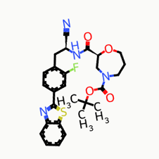 CC(C)(C)OC(=O)N1CCCO[C@H](C(=O)N[C@H](C#N)Cc2ccc(-c3nc4ccccc4s3)cc2F)C1